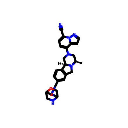 C[C@@H]1CN(c2ccc(C#N)n3nccc23)C[C@@H]2c3ccc(N4CC5COC(CN5)C4)cc3CN12